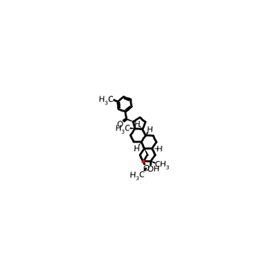 COCC[C@]12CC[C@@](C)(O)C[C@@H]1CC[C@H]1[C@@H]3CC[C@H](C(=O)c4cccc(C)c4)[C@@]3(C)CC[C@@H]12